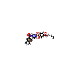 COc1ccc(S(=O)(=O)N2CCN(C(=O)c3cc4c(s3)CCC4)CC2)cc1